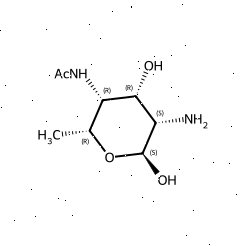 CC(=O)N[C@@H]1[C@H](O)[C@H](N)[C@@H](O)O[C@@H]1C